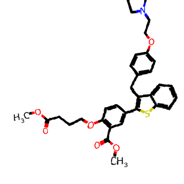 COC(=O)CCCOc1ccc(-c2sc3ccccc3c2Cc2ccc(OCCN3CCCC3)cc2)cc1C(=O)OC